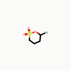 CCC1CCCS(=O)(=O)O1